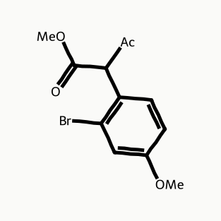 COC(=O)C(C(C)=O)c1ccc(OC)cc1Br